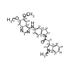 COc1cc2ncnc(Nc3ccc4c(c3)CCN4C(=O)Cc3cn(C)c4ccccc34)c2cc1OC